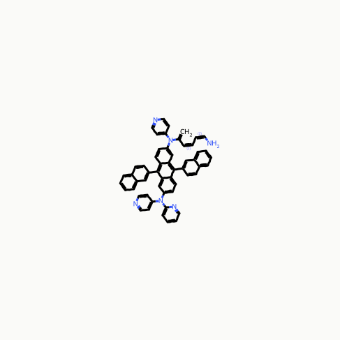 C=C(/C=C\C=C/N)N(c1ccncc1)c1ccc2c(-c3ccc4ccccc4c3)c3cc(N(c4ccncc4)c4ccccn4)ccc3c(-c3ccc4ccccc4c3)c2c1